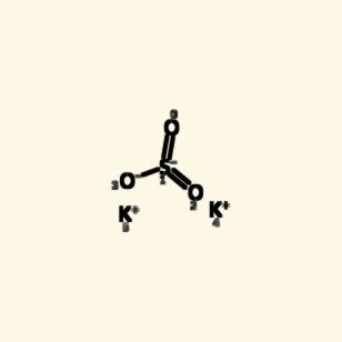 O=[S-](=O)[O-].[K+].[K+]